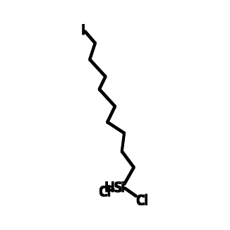 Cl[SiH](Cl)CCCCCCCCCI